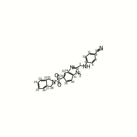 Cn1c(CNc2ccc(C#N)cc2)nc2cc(S(=O)(=O)N3Cc4ccccc4C3)ccc21